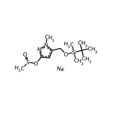 Cn1nc(OS(C)=O)cc1CO[Si](C)(C)C(C)(C)C.[Na]